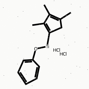 CC1=C(C)C(C)=[C]([Ti][O]c2ccccc2)C1.Cl.Cl